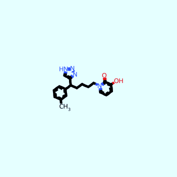 Cc1cccc(C(CCCCn2cccc(O)c2=O)c2c[nH]nn2)c1